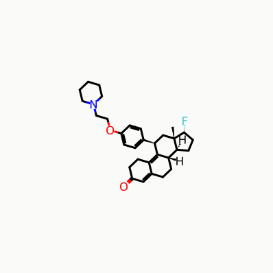 C[C@]12C[C@H](c3ccc(OCCN4CCCCC4)cc3)C3=C4CCC(=O)C=C4CC[C@H]3[C@@H]1CC[C@H]2F